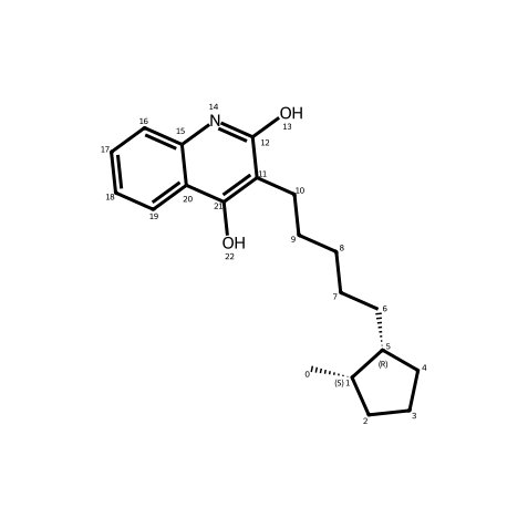 C[C@H]1CCC[C@H]1CCCCCc1c(O)nc2ccccc2c1O